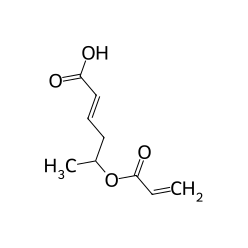 C=CC(=O)OC(C)CC=CC(=O)O